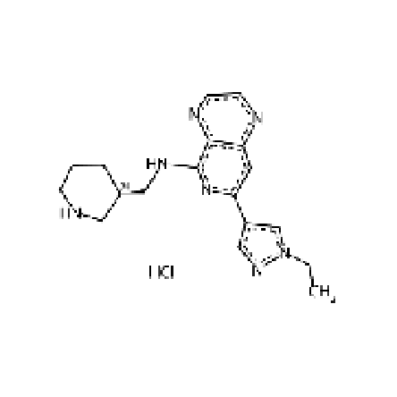 CCn1cc(-c2cc3nccnc3c(NC[C@@H]3CCCNC3)n2)cn1.Cl